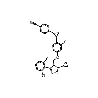 N#Cc1ccc(C2CC2c2ccc(OCC3C(c4c(Cl)cccc4Cl)=NOC3C3CC3)cc2Cl)cc1